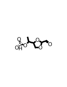 CC(O[SH](=O)=O)C1COC(C=O)O1